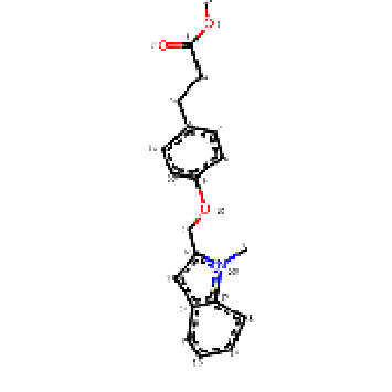 COC(=O)CCc1ccc(OCc2cc3ccccc3n2C)cc1